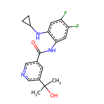 CC(C)(O)c1cncc(C(=O)Nc2cc(F)c(F)cc2NC2CC2)c1